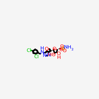 NS(=O)(=O)OC[C@H]1O[C@@H](c2coc3c(NCc4ccc(Cl)cc4Cl)ncnc23)[C@H](O)[C@@H]1O